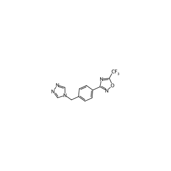 FC(F)(F)c1nc(-c2ccc(Cn3cnnc3)cc2)no1